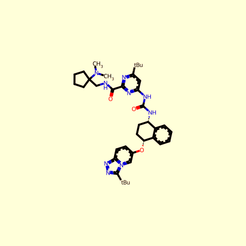 CN(C)C1(CNC(=O)c2nc(NC(=O)N[C@H]3CC[C@@H](Oc4ccc5nnc(C(C)(C)C)n5c4)c4ccccc43)cc(C(C)(C)C)n2)CCCC1